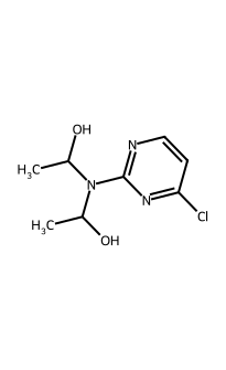 CC(O)N(c1nccc(Cl)n1)C(C)O